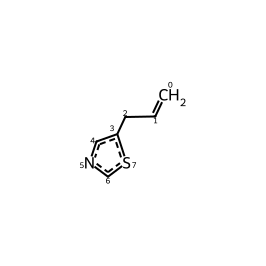 C=CCc1cncs1